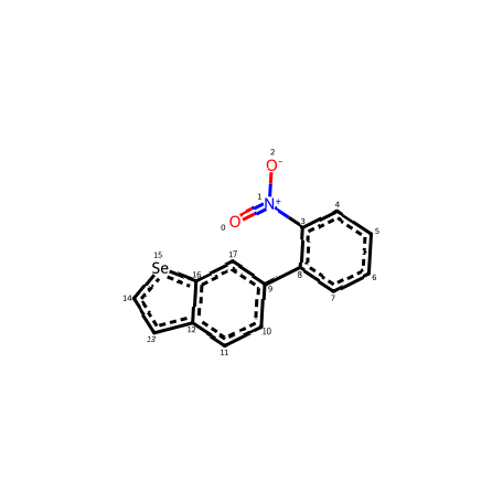 O=[N+]([O-])c1ccccc1-c1ccc2cc[se]c2c1